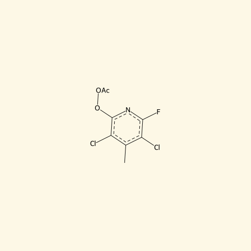 CC(=O)OOc1nc(F)c(Cl)c(C)c1Cl